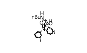 CCCCNC(=O)NS(=O)(=O)c1cnccc1Nc1cccc(C)c1